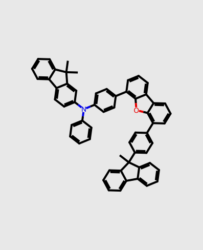 CC1(C)c2ccccc2-c2ccc(N(c3ccccc3)c3ccc(-c4cccc5c4oc4c(-c6ccc(C7(C)c8ccccc8-c8ccccc87)cc6)cccc45)cc3)cc21